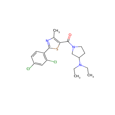 CCN(CC)C1CCN(C(=O)c2sc(-c3ccc(Cl)cc3Cl)nc2C)C1